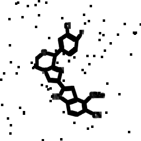 COc1c(C#N)ccc2[nH]c(-c3cn4c(n3)C(c3ccc(F)c(Cl)c3)OCC4)cc12